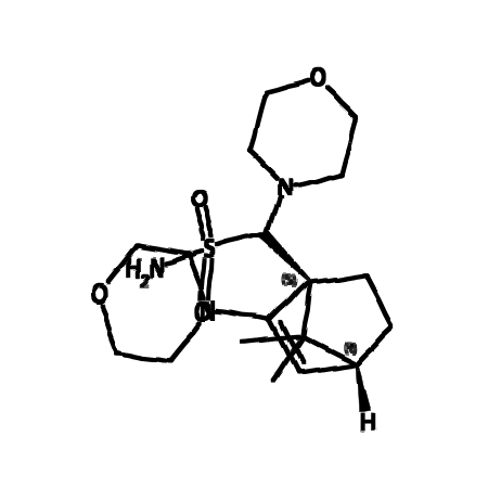 CC1(C)[C@H]2C=C(N3CCOCC3)[C@]1(C(N1CCOCC1)S(N)(=O)=O)CC2